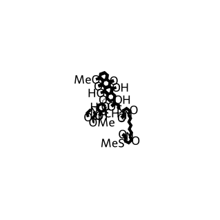 COc1cccc2c1C(=O)c1c(O)c3c(c(O)c1C2=O)C[C@@](O)(C(=O)CSC1CC(=O)N(CCCCCN2C(=O)CC(SC)C2=O)C1=O)C[C@@H]3O[C@H]1C[C@H]2[C@H](O[C@@H]3[C@@H](OC)OCCN32)[C@H](C)O1